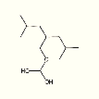 CC(C)CC(COC(O)O)CC(C)C